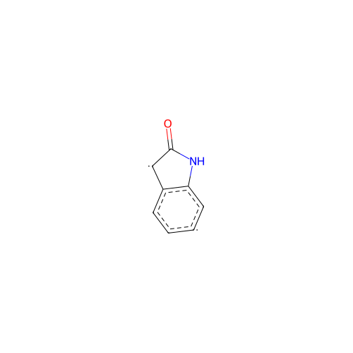 O=C1[CH]c2cc[c]cc2N1